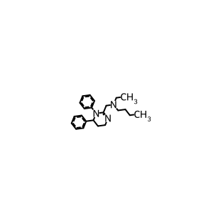 CCCCN(CC)CC1=NCCC(c2ccccc2)N1c1ccccc1